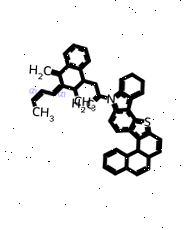 C=C1/C(=C\C=C/C)C(C)C(CC(=C)n2c3c(c4c5sc6c(c5ccc42)C2C(C=C6)C=CC4C=CC=CC42)=CCCC=3)c2ccccc21